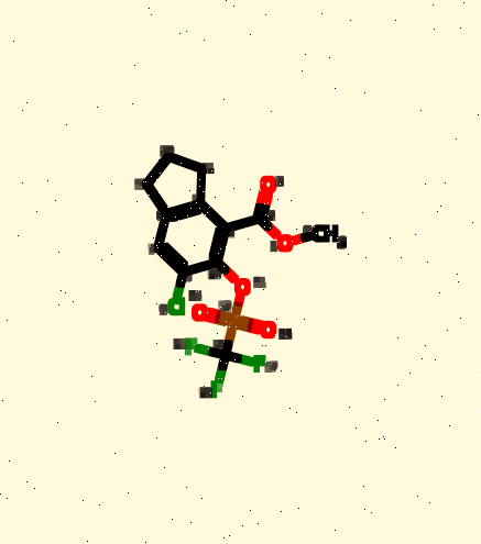 COC(=O)c1c2c(cc(Cl)c1OS(=O)(=O)C(F)(F)F)CCC2